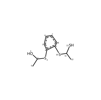 CC(O)Sc1ccccc1SC(C)S